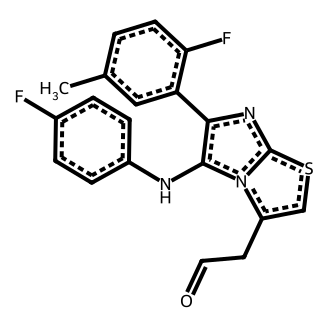 Cc1ccc(F)c(-c2nc3scc(CC=O)n3c2Nc2ccc(F)cc2)c1